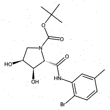 Cc1ccc(Br)c(NC(=O)[C@@H]2[C@@H](O)[C@@H](O)CN2C(=O)OC(C)(C)C)c1